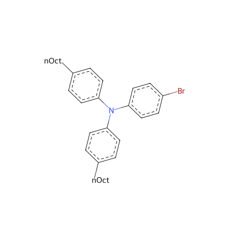 CCCCCCCCc1ccc(N(c2ccc(Br)cc2)c2ccc(CCCCCCCC)cc2)cc1